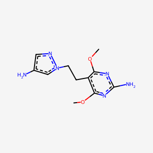 COc1nc(N)nc(OC)c1CCn1cc(N)cn1